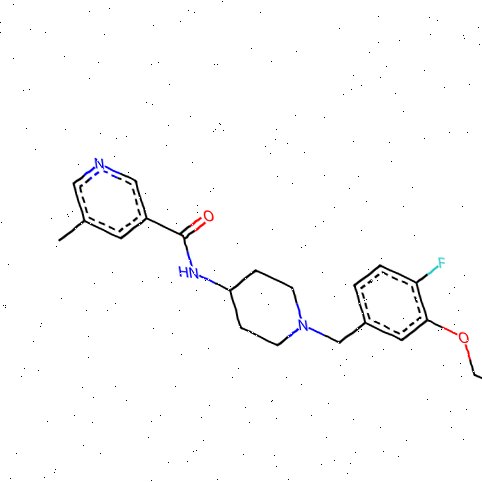 CCOc1cc(CN2CCC(NC(=O)c3cncc(C)c3)CC2)ccc1F